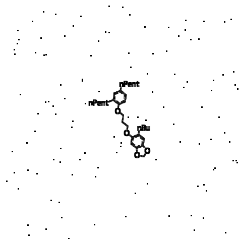 CCCCCc1ccc(OCCCOc2cc3c(cc2CCCC)OCO3)c(CCCCC)c1